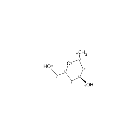 CC1C[C@@H](O)CC(CO)O1